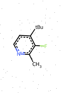 Cc1nccc(C(C)(C)C)c1F